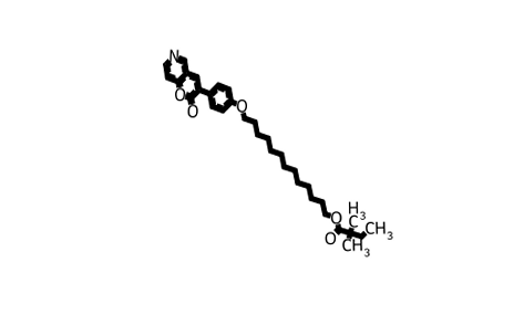 CCC(C)(C)C(=O)OCCCCCCCCCCCCCOc1ccc(-c2cc3cnccc3oc2=O)cc1